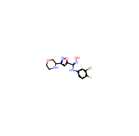 ON=C(Nc1ccc(F)c(Cl)c1)c1cc(C2COCCN2)no1